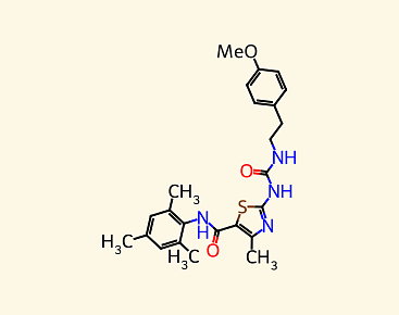 COc1ccc(CCNC(=O)Nc2nc(C)c(C(=O)Nc3c(C)cc(C)cc3C)s2)cc1